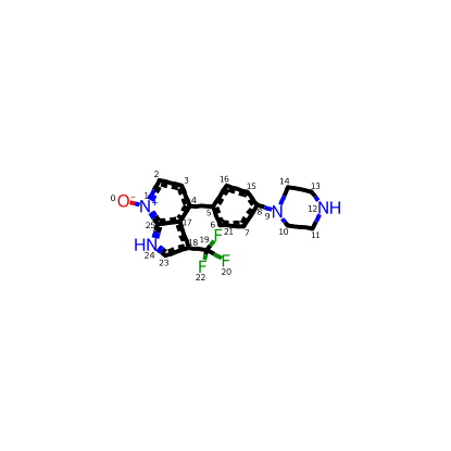 [O-][n+]1ccc(-c2ccc(N3CCNCC3)cc2)c2c(C(F)(F)F)c[nH]c21